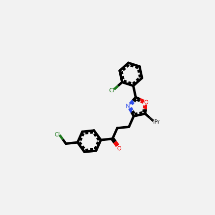 CC(C)c1oc(-c2ccccc2Cl)nc1CCC(=O)c1ccc(CCl)cc1